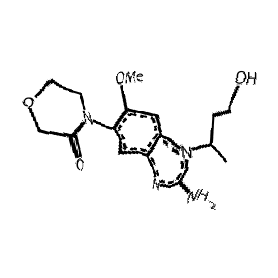 COc1cc2c(cc1N1CCOCC1=O)nc(N)n2C(C)CCO